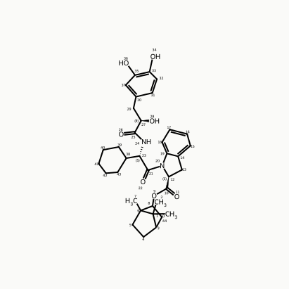 CC1(C)C2CCC1(C)C(OC(=O)[C@@H]1Cc3ccccc3N1C(=O)[C@@H](NC(=O)[C@H](O)Cc1ccc(O)c(O)c1)C1CCCCC1)C2